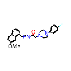 COc1ccc2cccc(CCNC(=O)CN3CCN(c4ccc(F)cc4)CC3)c2c1